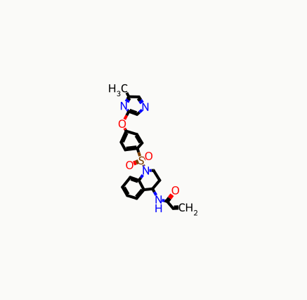 C=CC(=O)NC1CCN(S(=O)(=O)c2ccc(Oc3cncc(C)n3)cc2)c2ccccc21